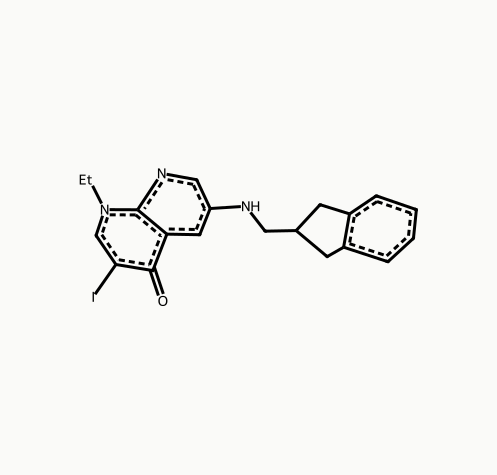 CCn1cc(I)c(=O)c2cc(NCC3Cc4ccccc4C3)cnc21